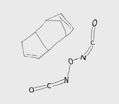 C1=CC2C3C=CC(C3)C2C1.O=C=NON=C=O